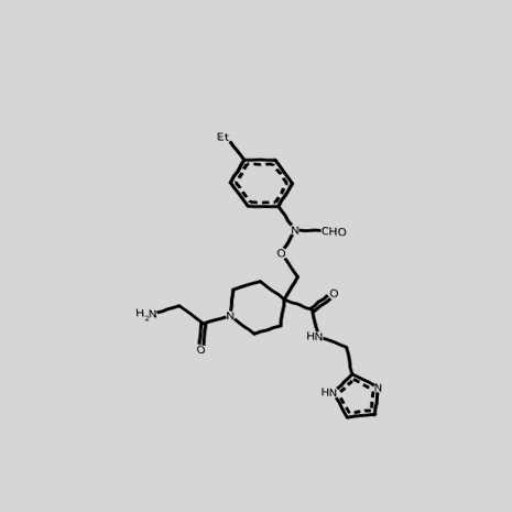 CCc1ccc(N(C=O)OCC2(C(=O)NCc3ncc[nH]3)CCN(C(=O)CN)CC2)cc1